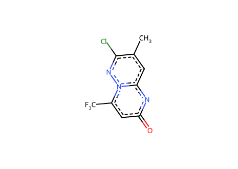 Cc1cc2nc(=O)cc(C(F)(F)F)n2nc1Cl